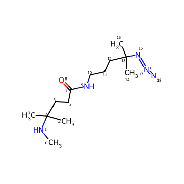 CNC(C)(C)CCC(=O)NCCCC(C)(C)N=[N+]=[N-]